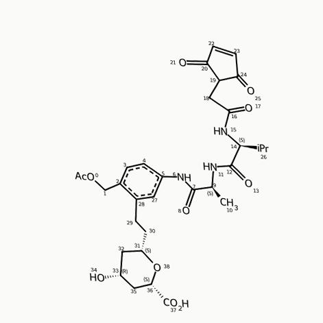 CC(=O)OCc1ccc(NC(=O)[C@H](C)NC(=O)[C@@H](NC(=O)CC2C(=O)C=CC2=O)C(C)C)cc1CC[C@H]1C[C@@H](O)C[C@@H](C(=O)O)O1